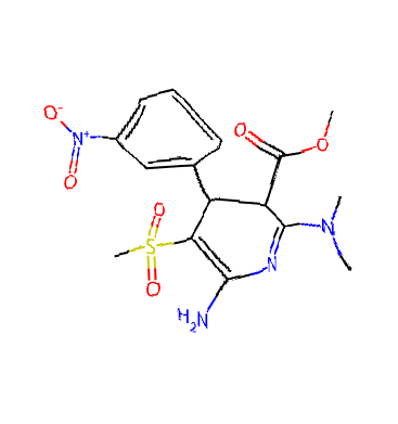 COC(=O)C1C(N(C)C)=NC(N)=C(S(C)(=O)=O)C1c1cccc([N+](=O)[O-])c1